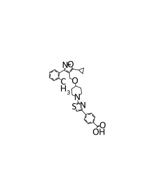 Cc1ccccc1-c1noc(C2CC2)c1COC1CCN(c2nc(-c3ccc(C(=O)O)cc3)cs2)CC1